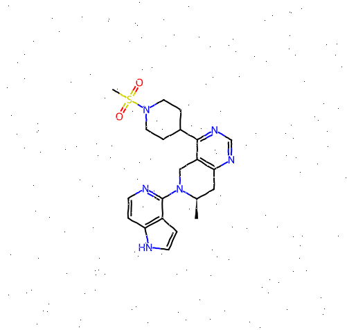 C[C@@H]1Cc2ncnc(C3CCN(S(C)(=O)=O)CC3)c2CN1c1nccc2[nH]ccc12